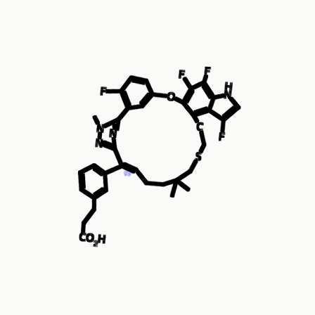 Cn1nc2nc1-c1cc(ccc1F)Oc1c(F)c(F)c3[nH]cc(F)c3c1CCSCC(C)(C)CC/C=C/2c1cccc(CCC(=O)O)c1